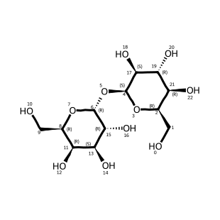 OC[C@H]1O[C@@H](O[C@H]2O[C@H](CO)[C@H](O)[C@H](O)[C@H]2O)[C@@H](O)[C@H](O)[C@H]1O